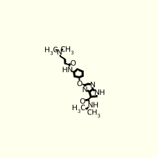 CC(C)NC(=O)c1c[nH]c2ncc(Oc3cccc(NC(=O)/C=C/CN(C)C)c3)nc12